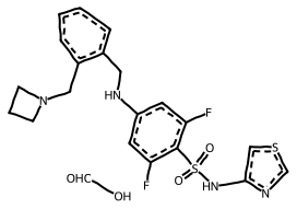 O=CO.O=S(=O)(Nc1cscn1)c1c(F)cc(NCc2ccccc2CN2CCC2)cc1F